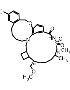 COC[C@@H]1CCCC(C)[C@@H](C)S(=O)(=O)NC(=O)c2ccc3c(c2)N(CCCCc2cc(Cl)ccc2CO3)CC2CCC21